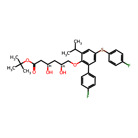 CC(C)c1cc(Sc2ccc(F)cc2)cc(-c2ccc(F)cc2)c1OC[C@@H](O)C[C@@H](O)CC(=O)OC(C)(C)C